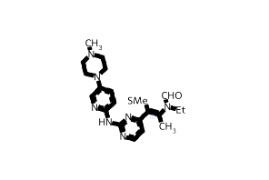 CCN(C=O)/C(C)=C(\SC)c1ccnc(Nc2ccc(N3CCN(C)CC3)cn2)n1